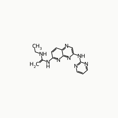 C=C(NCC)Nc1ccc2ncc(Nc3ncccn3)nc2n1